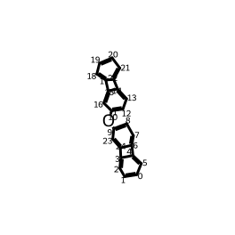 c1ccc2c(c1)-c1ccc(Oc3ccc4c(c3)-c3ccccc3-4)cc1-2